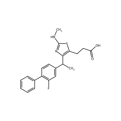 CNc1nc(C(C)c2ccc(-c3ccccc3)c(F)c2)c(CCC(=O)O)s1